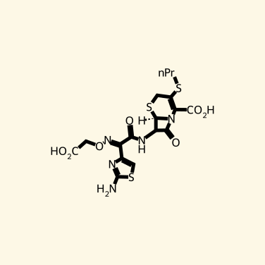 CCCSC1=C(C(=O)O)N2C(=O)C(NC(=O)/C(=N/OCC(=O)O)c3csc(N)n3)[C@H]2SC1